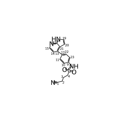 N#CCCCS(=O)(=O)Nc1ccc(-c2ccnc3[nH]ccc23)cc1